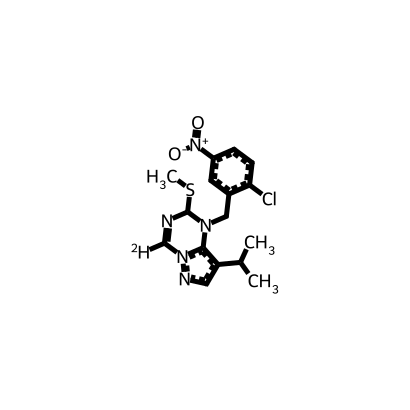 [2H]C1=NC(SC)N(Cc2cc([N+](=O)[O-])ccc2Cl)c2c(C(C)C)cnn21